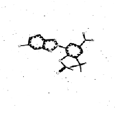 CC(=O)Oc1c(-n2nc3ccc(Cl)cc3n2)cc(C(Br)Br)cc1C(C)(C)C